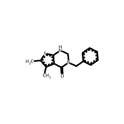 Cc1sc2c(c1C)C(=O)N(Cc1ccccc1)CN2